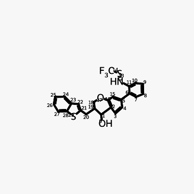 OC1c2ccc(-c3ccccc3NSC(F)(F)F)cc2OCC1Cc1cc2ccccc2s1